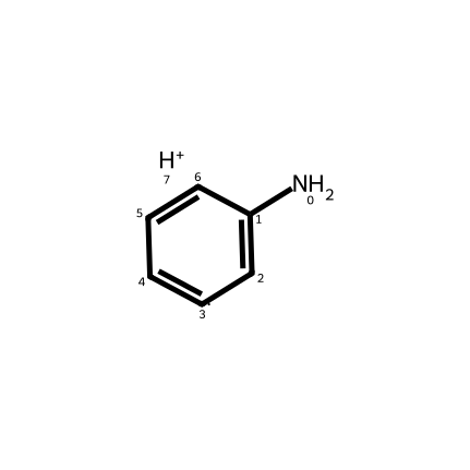 Nc1c[c]ccc1.[H+]